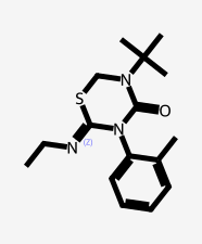 CC/N=C1\SCN(C(C)(C)C)C(=O)N1c1ccccc1C